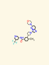 Cc1ccc(C(=O)Nc2cncc(C(F)(F)F)c2)cc1C1CCN(c2cnc3ccc(N4CCOCC4)nn23)C1